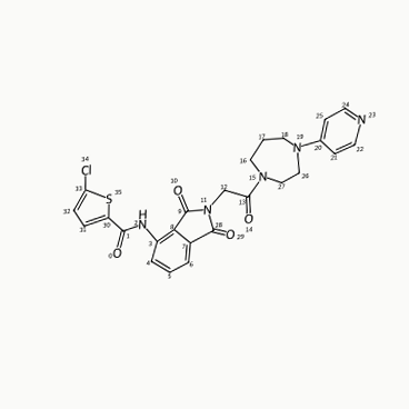 O=C(Nc1cccc2c1C(=O)N(CC(=O)N1CCCN(c3ccncc3)CC1)C2=O)c1ccc(Cl)s1